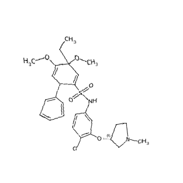 CCC1(OC)C=C(S(=O)(=O)Nc2ccc(Cl)c(O[C@@H]3CCN(C)C3)c2)C(c2ccccc2)C=C1OC